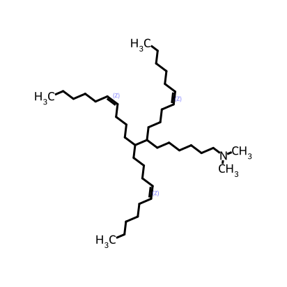 CCCCC/C=C\CCCC(CCC/C=C\CCCCC)C(CCC/C=C\CCCCC)CCCCCCN(C)C